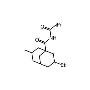 CCC1CC2CC(C)CC(C(=O)NC(=O)C(C)C)(C1)C2